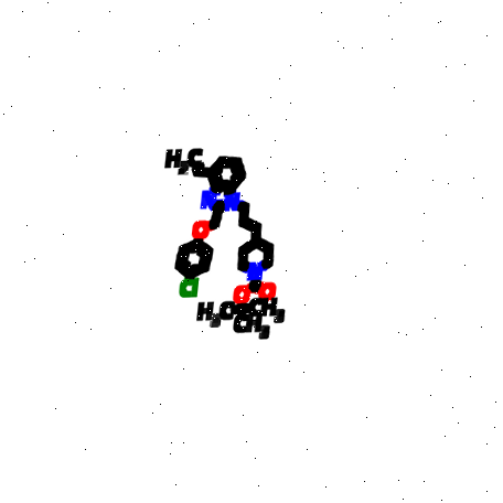 C=Cc1cccc2c1nc(COc1ccc(Cl)cc1)n2CCCC1CCN(C(=O)OC(C)(C)C)CC1